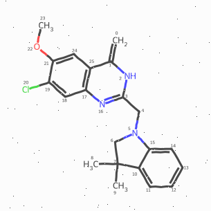 C=C1NC(CN2CC(C)(C)c3ccccc32)=Nc2cc(Cl)c(OC)cc21